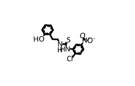 O=[N+]([O-])c1ccc(Cl)c(NC(=S)NCCc2ccccc2O)c1